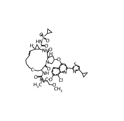 COCCN(C)C(=O)N[C@H]1CCCCC/C=C/[C@@H]2C[C@@]2(C(=O)NS(=O)(=O)C2CC2)NC(=O)[C@@H]2C[C@@H](Oc3cc(-c4nc(C5CC5)cs4)nc4c(Cl)c(OC)ccc34)CN2C1=O